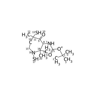 CC(C)(C)OC(=O)NC1C(=O)C(C)(S)CCN(S)C1(C)C